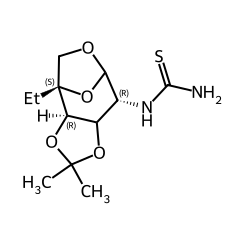 CC[C@@]12COC(O1)[C@H](NC(N)=S)C1OC(C)(C)O[C@H]12